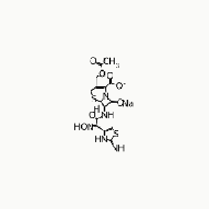 CC(=O)OCC1=C(C(=O)[O-])N2C(=O)C(NC(=O)/C(=N\O)c3csc(=N)[nH]3)[C@H]2SC1.[Na+]